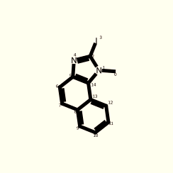 Cn1c(I)nc2ccc3ccccc3c21